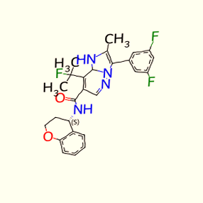 CC1=C(c2cc(F)cc(F)c2)N2N=CC(C(=O)N[C@H]3CCOc4ccccc43)=C(C(C)(C)F)C2N1